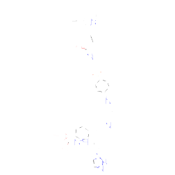 CN(C)C/C=C/C(=O)N1CC(S(=O)(=O)c2ccc(N3CC(CN4CCC([C@@](Cn5ccnn5)(c5cccc(F)c5)[C@H]5CCC[C@@H]5NC(=O)O)CC4)C3)cc2)C1